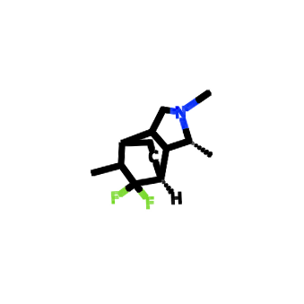 CC1C2CC[C@@H](C3C2CN(C)[C@@H]3C)C1(F)F